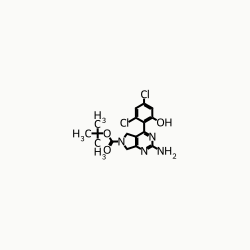 CC(C)(C)OC(=O)N1Cc2nc(N)nc(-c3c(O)cc(Cl)cc3Cl)c2C1